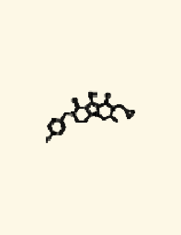 CC1Cn2c3c(c(O)c2C(=O)N1CC1CC1)C(=O)N(Cc1ccc(F)cc1)CC3